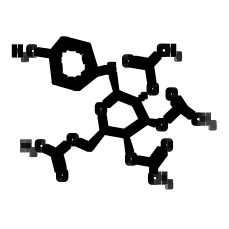 CC(=O)OC[C@H]1O[C@@H](Sc2ccc(C)cc2)[C@H](OC(C)=O)[C@@H](OC(C)=O)[C@H]1OC(C)=O